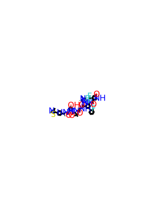 Cc1ncsc1-c1ccc([C@H](C)NC(=O)[C@@H]2C[C@@H](O)CN2C(=O)[C@@H](NC(=O)CNC(=O)c2cc(-c3ccccc3F)cc(NC(=O)c3c[nH]c(=O)cc3C(F)(F)F)c2N2C[C@@H](C)N(C)[C@@H](C)C2)C(C)(C)C)cc1